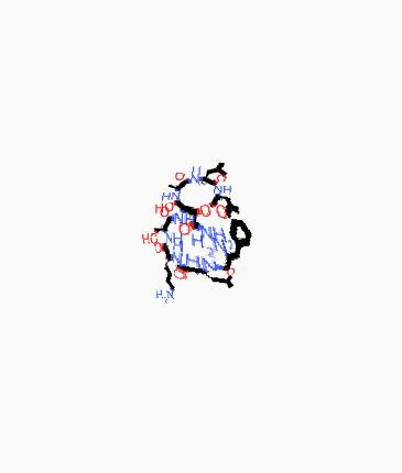 CC(C)C[C@@H]1NC(=O)[C@H](C)NC(O)C(NC(=O)[C@H](CO)NC(=O)[C@@H](CCCCN)NC(=O)[C@@H](CC(C)C)NC(=O)[C@@H](N)Cc2ccccc2)[C@H](C(N)=O)OC(=O)[C@H](CC(C)C)NC1=O